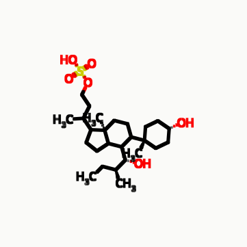 CC[C@H](C)[C@@H](O)C1C2CCC(C(C)CCOS(=O)(=O)O)[C@@]2(C)CCC1[C@]1(C)CC[C@H](O)CC1